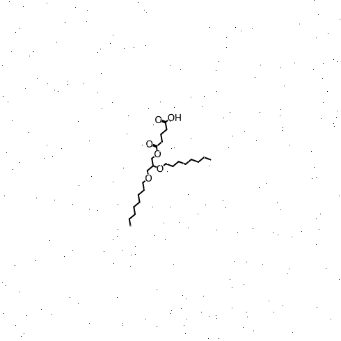 CCCCCCCCOCC(COC(=O)CCCC(=O)O)OCCCCCCCC